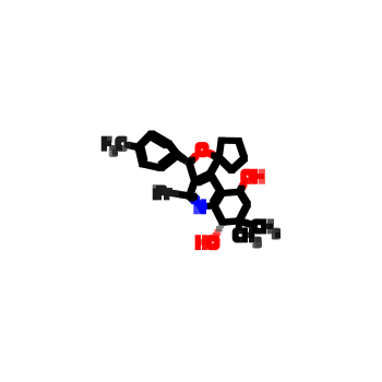 CC(C)c1nc2c(c3c1[C@@H](c1ccc(C(F)(F)F)cc1)OC31CCCC1)C(O)CC(C)(C)[C@@H]2O